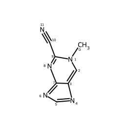 Cn1cc2ncnc-2nc1C#N